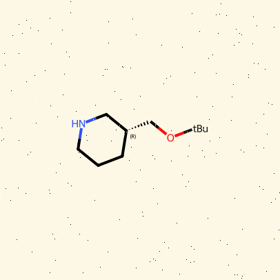 CC(C)(C)OC[C@@H]1CCCNC1